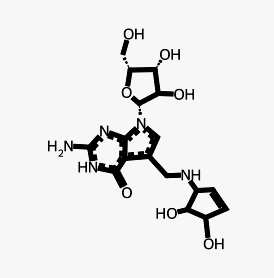 Nc1nc2c(c(CNC3C=CC(O)C3O)cn2[C@@H]2O[C@H](CO)[C@H](O)C2O)c(=O)[nH]1